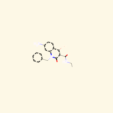 Nc1ccc2c(O)c(C(=O)NCC(=O)O)c(=O)n(Cc3ccccc3)c2c1